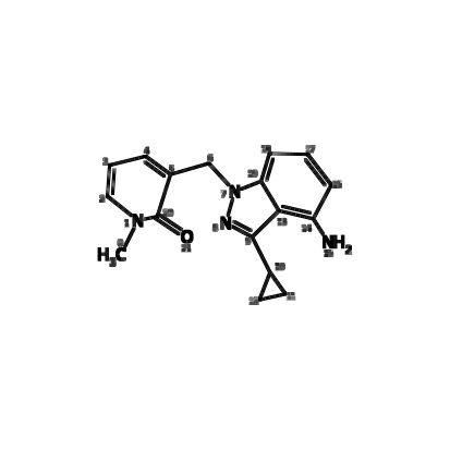 Cn1cccc(Cn2nc(C3CC3)c3c(N)cccc32)c1=O